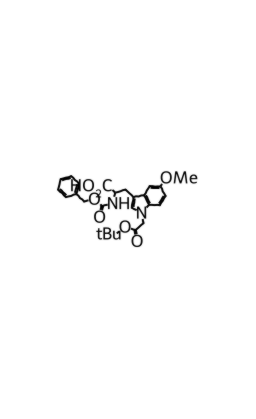 COc1ccc2c(c1)c(CC(NC(=O)OCc1ccccc1)C(=O)O)cn2CC(=O)OC(C)(C)C